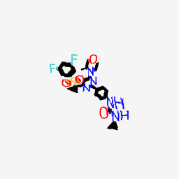 C[C@H]1COCCN1c1cc(C2(S(=O)(=O)c3cc(F)cc(F)c3)CC2)nc(-c2ccc(NC(=O)NC3CC3)cc2)n1